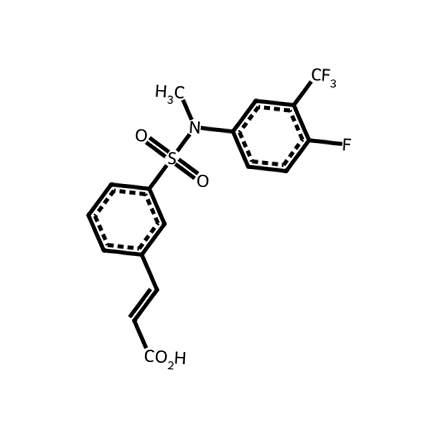 CN(c1ccc(F)c(C(F)(F)F)c1)S(=O)(=O)c1cccc(/C=C/C(=O)O)c1